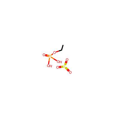 CCOP(=O)(O)O.O=S(=O)=O